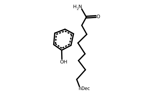 CCCCCCCCCCCCCCCCCC(N)=O.Oc1ccccc1